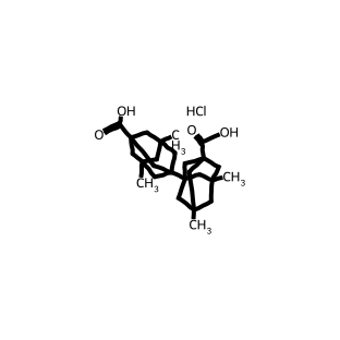 CC12CC3(C)CC(C(=O)O)(C1)CC(C14CC5(C)CC(C)(CC(C(=O)O)(C5)C1)C4)(C2)C3.Cl